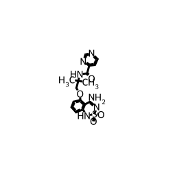 CC(C)(COc1cccc2c1C(N)=NS(=O)(=O)N2)NC(=O)c1ccncn1